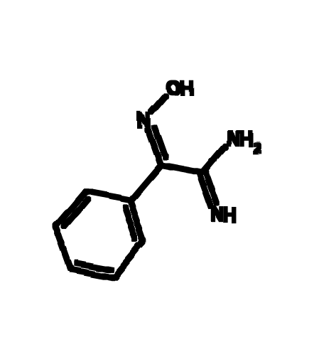 N=C(N)/C(=N\O)c1ccccc1